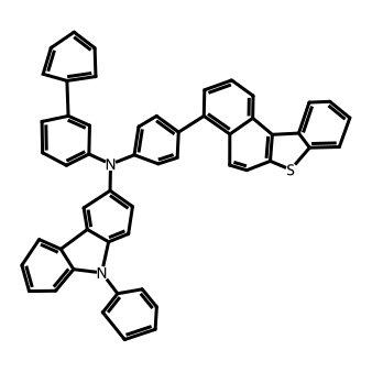 c1ccc(-c2cccc(N(c3ccc(-c4cccc5c4ccc4sc6ccccc6c45)cc3)c3ccc4c(c3)c3ccccc3n4-c3ccccc3)c2)cc1